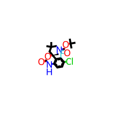 CC1(C)CN(C(=O)OC(C)(C)C)C[C@]2(C1)OC(=O)Nc1ccc(Cl)c(F)c12